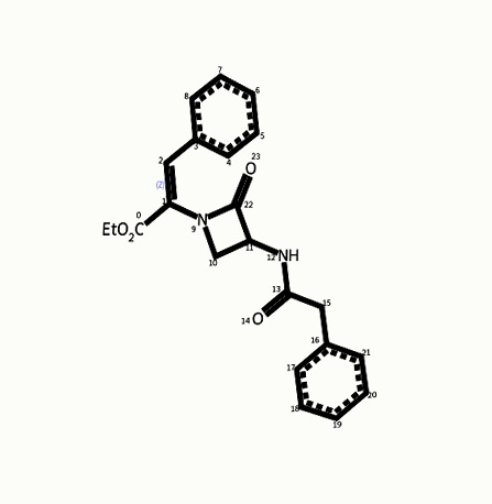 CCOC(=O)/C(=C/c1ccccc1)N1CC(NC(=O)Cc2ccccc2)C1=O